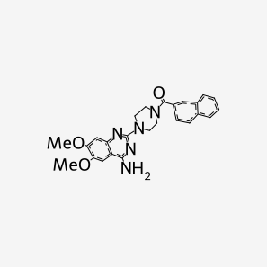 COc1cc2nc(N3CCN(C(=O)c4ccc5ccccc5c4)CC3)nc(N)c2cc1OC